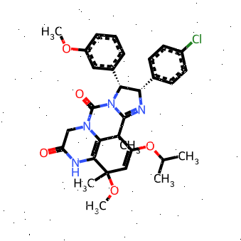 COc1cccc([C@@H]2[C@H](c3ccc(Cl)cc3)N=C3N2C(=O)N2CC(=O)NC4=C2C3(C)C(OC(C)C)=CC4(C)OC)c1